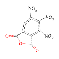 O=C1OC(=O)c2c1cc([N+](=O)[O-])c([N+](=O)[O-])c2[N+](=O)[O-]